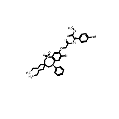 CCCCC1(CCCC)CN(c2ccccc2)c2cc(Br)c(OCC(=O)N[C@@H](C(=O)OC)c3ccc(O)cc3)cc2S(=O)(=O)C1